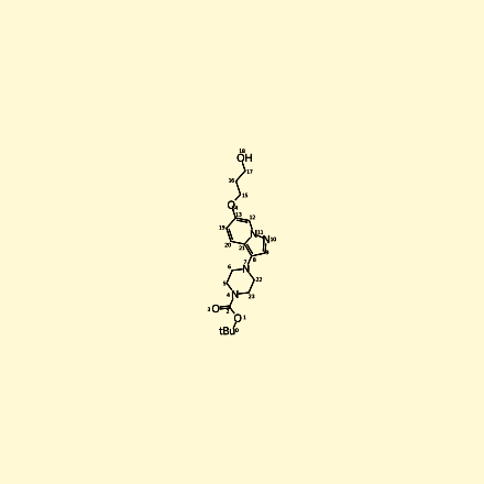 CC(C)(C)OC(=O)N1CCN(c2cnn3cc(OCCCO)ccc23)CC1